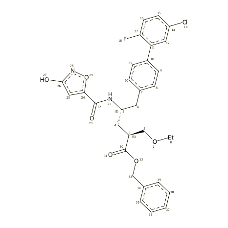 CCOC[C@H](C[C@@H](Cc1ccc(-c2cc(Cl)ccc2F)cc1)NC(=O)c1cc(O)no1)C(=O)OCc1ccccc1